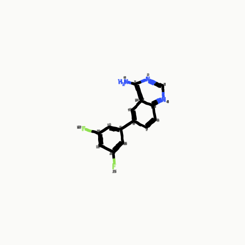 Nc1ncnc2ccc(-c3cc(F)cc(F)c3)cc12